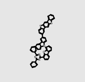 c1ccc(-c2nc(-c3ccccc3)nc(-c3cccc4c3oc3c(-n5c6ccccc6c6cc(-c7ccc8sc9cc%10c(cc9c8c7)sc7ccccc7%10)ccc65)cccc34)n2)cc1